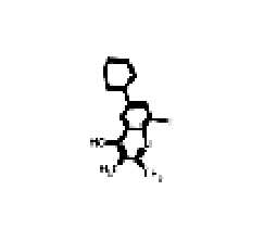 Cc1nc2c(F)cc(C3CCCCC3)cc2c(O)c1C